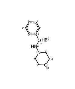 Br.c1ccc(ONN2CCOCC2)cc1